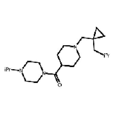 CC(C)CC1(CN2CCC(C(=O)N3CCN(C(C)C)CC3)CC2)CC1